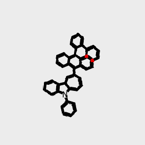 C1=CC(c2c3ccccc3c(-c3ccccc3-c3ccccc3)c3ccccc23)=CC2C(=C1)N(c1ccccc1)C1=C2C=CCC1